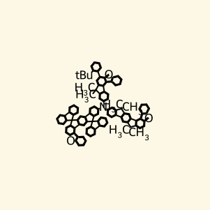 CC(C)(C)c1ccccc1-c1cc2c(c3c1oc1ccccc13)-c1ccc(N(c3ccc4c(c3)C(C)(C)c3cc5c(cc3-4)C(C)(C)c3ccc4oc6ccccc6c4c3-5)c3ccc4c(c3)C3(c5ccccc5-c5ccccc53)c3cc5c(cc3-4)C3(c4ccccc4-c4ccccc43)c3ccc4oc6ccccc6c4c3-5)cc1C2(C)C